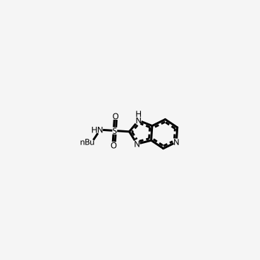 CCCCNS(=O)(=O)c1nc2cnccc2[nH]1